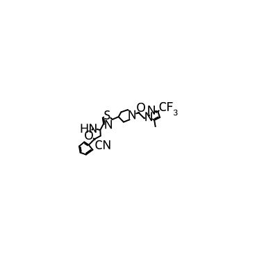 Cc1cc(C(F)(F)F)nn1CC(=O)N1CCC(c2nc(C3CC(C#N)(c4ccccc4)ON3)cs2)CC1